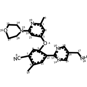 Cc1cc(Oc2cc(C#N)c(C)cc2-c2ncc(CN)cn2)cc(N2CCOCC2)n1